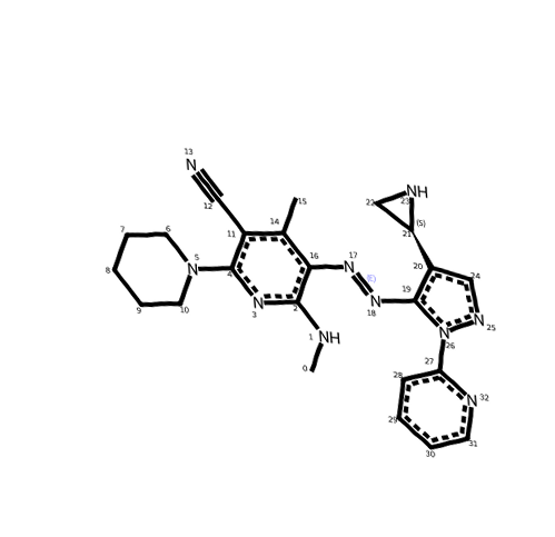 CNc1nc(N2CCCCC2)c(C#N)c(C)c1/N=N/c1c([C@H]2CN2)cnn1-c1ccccn1